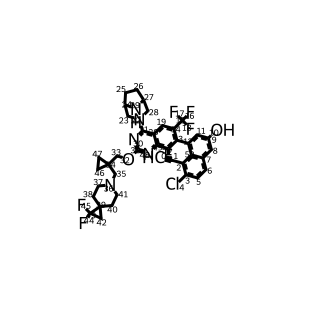 C#Cc1c(Cl)ccc2cc(O)cc(-c3c(C(F)(F)F)cc4c(N5CC6CCC(C5)N6)nc(OCC5(CN6CCC7(CC6)CC7(F)F)CC5)nc4c3F)c12